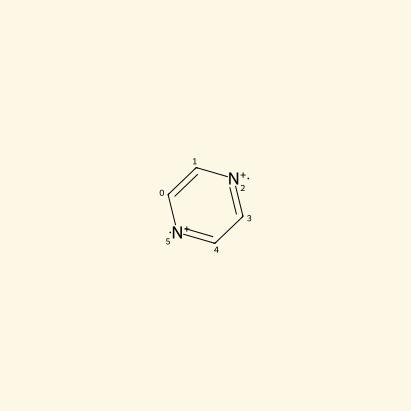 C1=C[N+]=CC=[N+]1